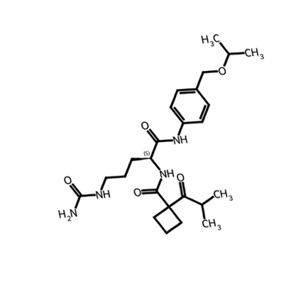 CC(C)OCc1ccc(NC(=O)[C@H](CCCNC(N)=O)NC(=O)C2(C(=O)C(C)C)CCC2)cc1